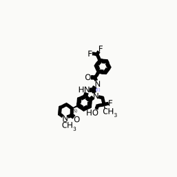 CN1CCC[C@@H](c2ccc3c(c2)[nH]/c(=N\C(=O)c2cccc(C(F)F)c2)n3C[C@@](C)(F)CO)C1=O